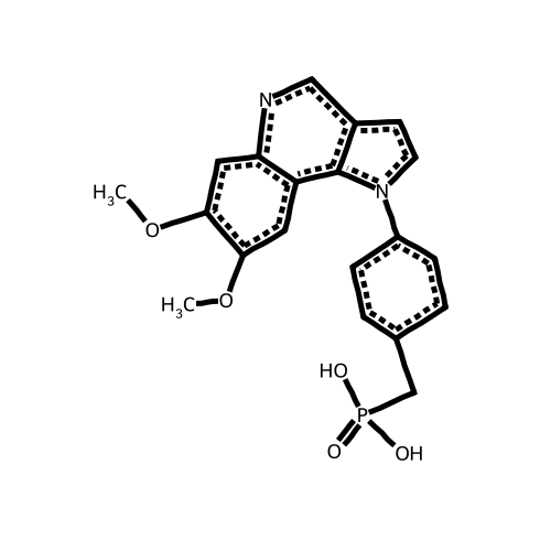 COc1cc2ncc3ccn(-c4ccc(CP(=O)(O)O)cc4)c3c2cc1OC